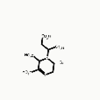 O=C(O)CC(C(=O)O)N1CCN=C(C(=O)O)C1C(=O)O.[Cu]